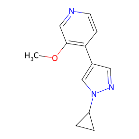 COc1cnccc1-c1cnn(C2CC2)c1